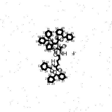 O=C(CCCC(NC(=O)c1ccccc1)C(=O)OC(c1ccccc1)c1ccccc1)NC1C(=O)N2C(C(=O)OC(c3ccccc3)c3ccccc3)=C(C[P+](c3ccccc3)(c3ccccc3)c3ccccc3)CS[C@@H]12.[I-]